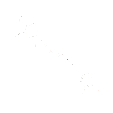 O=[N+]([O-])c1cc(C(F)(F)C(F)(F)C(F)(F)/C=C/C(F)(F)C(F)(F)C(F)(F)c2ccc(O)c([N+](=O)[O-])c2)ccc1O